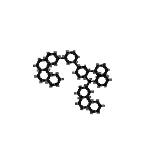 c1ccc(-c2cc(-c3cccc(-c4ccc5ccc6ccc7ccccc7c6c5c4)c3)ccc2N(c2ccccc2)c2ccc3ccc4ccccc4c3c2)cc1